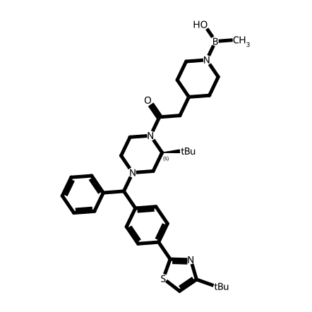 CB(O)N1CCC(CC(=O)N2CCN(C(c3ccccc3)c3ccc(-c4nc(C(C)(C)C)cs4)cc3)C[C@@H]2C(C)(C)C)CC1